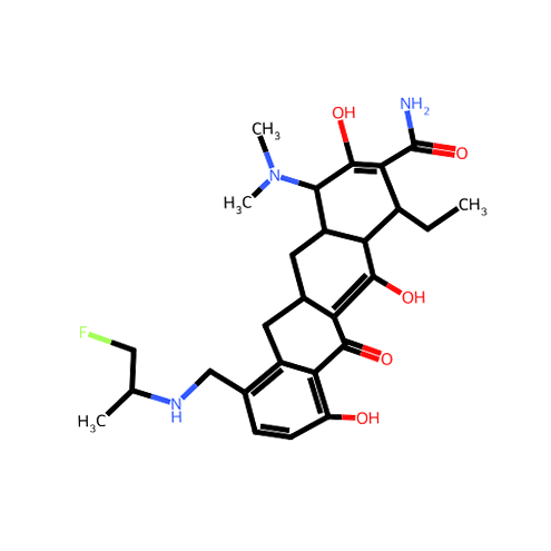 CCC1C(C(N)=O)=C(O)C(N(C)C)C2CC3Cc4c(CNC(C)CF)ccc(O)c4C(=O)C3=C(O)C12